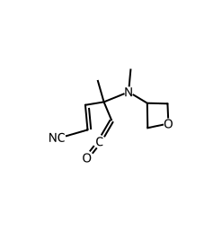 CN(C1COC1)C(C)(C=C=O)C=CC#N